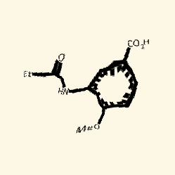 CCC(=O)Nc1cc(C(=O)O)ccc1OC